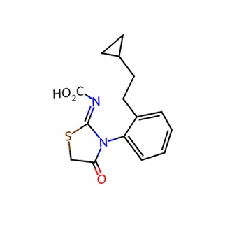 O=C(O)/N=C1\SCC(=O)N1c1ccccc1CCC1CC1